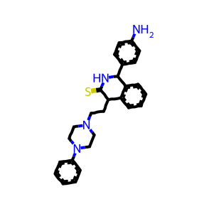 Nc1ccc(C2NC(=S)C(CCN3CCN(c4ccccc4)CC3)c3ccccc32)cc1